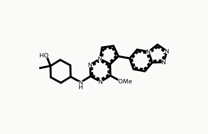 COc1nc(NC2CCC(C)(O)CC2)nn2ccc(-c3ccc4nncn4c3)c12